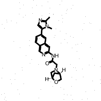 Cc1ncc(-c2ccc3cnc(NC(=O)CN4C[C@H]5C[C@@H]4CO5)cc3c2)n1C